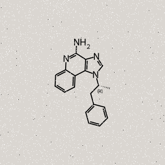 C[C@H](Cc1ccccc1)n1cnc2c(N)nc3ccccc3c21